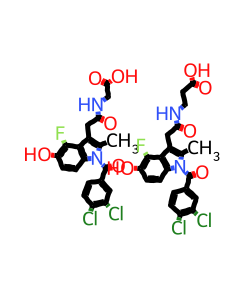 Cc1c(CC(=O)NCC(=O)O)c2c(F)c(O)ccc2n1C(=O)c1ccc(Cl)c(Cl)c1.Cc1c(CC(=O)NCCC(=O)O)c2c(F)c(O)ccc2n1C(=O)c1ccc(Cl)c(Cl)c1